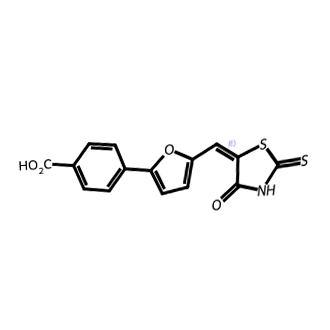 O=C1NC(=S)S/C1=C/c1ccc(-c2ccc(C(=O)O)cc2)o1